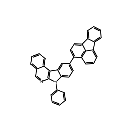 c1ccc(-n2c3ccc(-c4ccc5c6c(cccc46)-c4ccccc4-5)cc3c3c4ccccc4cnc32)cc1